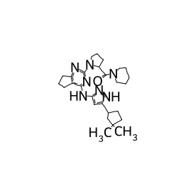 CC1(C)CCC(c2cc(Nc3nc(N4CCCC4C(=O)N4CCCCC4)nc4c3CCC4)n[nH]2)C1